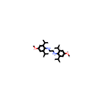 COc1cc(C(C)C)c(NCCNc2c(C(C)C)cc(OC)cc2C(C)C)c(C(C)C)c1